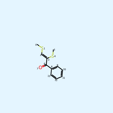 CSC=C(SC)C(=O)c1ccccc1